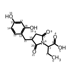 CCC(C(=O)O)N1C(=O)CC(Cc2ccc(O)cc2O)C1=O